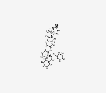 C=C1c2ccc(C[C@H]3CCCC[C@@H]3N(Cc3ccccc3)Cc3ccccc3)cc2CN1C1CCC(=O)NC1=O